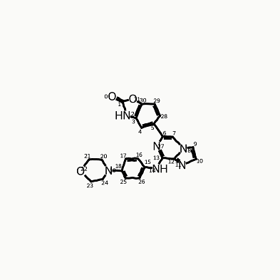 O=c1[nH]c2cc(-c3cn4ccnc4c(Nc4ccc(N5CCOCC5)cc4)n3)ccc2o1